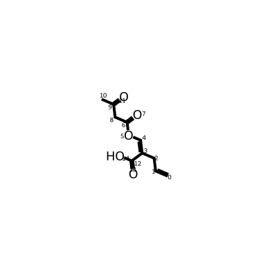 C=CCC(=COC(=O)CC(C)=O)C(=O)O